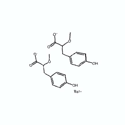 COC(Cc1ccc(O)cc1)C(=O)[O-].COC(Cc1ccc(O)cc1)C(=O)[O-].[Ba+2]